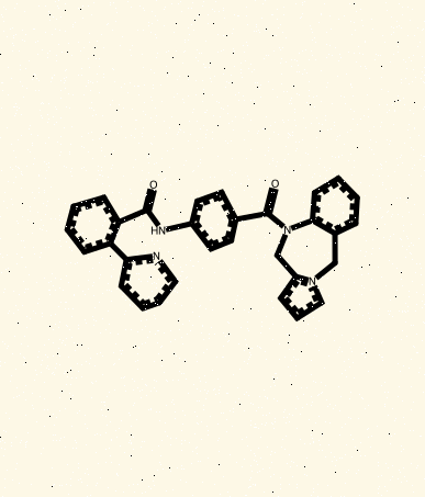 O=C(Nc1ccc(C(=O)N2Cc3cccn3Cc3ccccc32)cc1)c1ccccc1-c1ccccn1